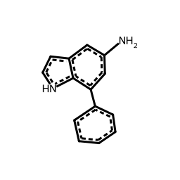 Nc1cc(-c2ccccc2)c2[nH]ccc2c1